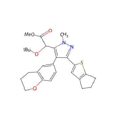 COC(=O)C(OC(C)(C)C)c1c(-c2ccc3c(c2)CCCO3)c(-c2cc3c(s2)CCC3)nn1C